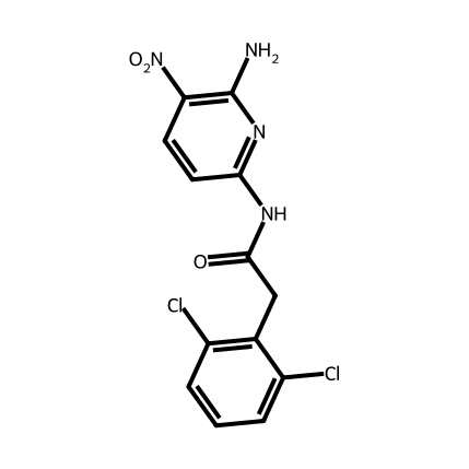 Nc1nc(NC(=O)Cc2c(Cl)cccc2Cl)ccc1[N+](=O)[O-]